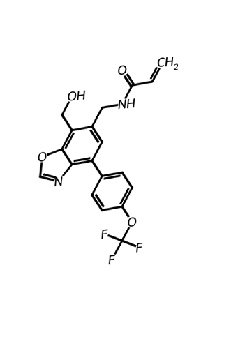 C=CC(=O)NCc1cc(-c2ccc(OC(F)(F)F)cc2)c2ncoc2c1CO